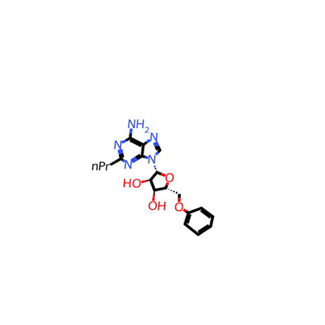 CCCc1nc(N)c2ncn([C@@H]3O[C@H](COc4ccccc4)[C@@H](O)[C@H]3O)c2n1